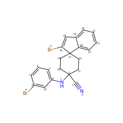 N#CC1(Nc2cccc(Br)c2)CCC2(CC1)C(Br)=Cc1ccccc12